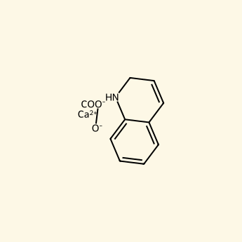 C1=Cc2ccccc2NC1.O=C([O-])[O-].[Ca+2]